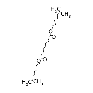 CC(C)CCCCCCOC(=O)CCCCCCCC(=O)OCCCCCCC(C)C